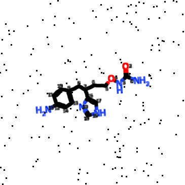 NC(=O)NOCCC(Cc1ccc(N)cc1)c1c[nH]cn1